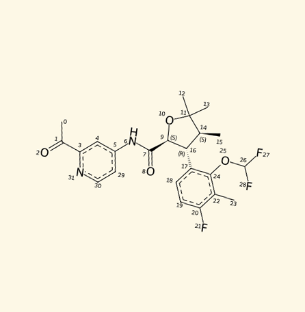 CC(=O)c1cc(NC(=O)[C@H]2OC(C)(C)[C@@H](C)[C@@H]2c2ccc(F)c(C)c2OC(F)F)ccn1